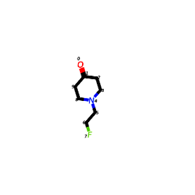 O=C1CCN(CCF)CC1